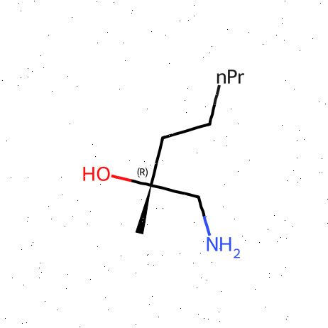 CCCCC[C@@](C)(O)CN